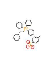 Cc1ccc(S(=O)(=O)[O-])cc1.c1ccc(CC[P+](c2ccccc2)(c2ccccc2)c2ccccc2)cc1